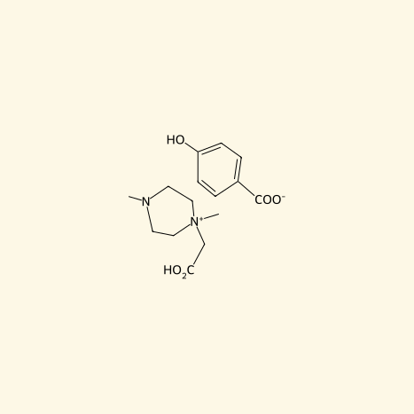 CN1CC[N+](C)(CC(=O)O)CC1.O=C([O-])c1ccc(O)cc1